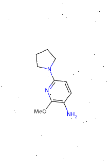 COc1nc(N2CCCC2)ccc1N